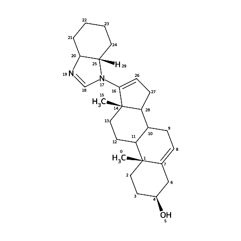 C[C@]12CC[C@H](O)CC1=CCC1C2CC[C@]2(C)C(N3C=NC4CCCC[C@@H]43)=CCC12